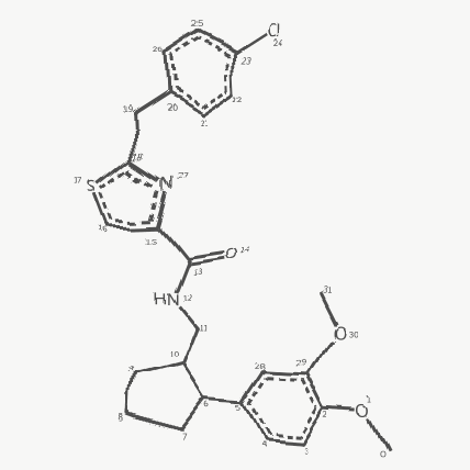 COc1ccc(C2CCCC2CNC(=O)c2csc(Cc3ccc(Cl)cc3)n2)cc1OC